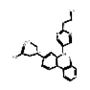 CCOc1ncc(Nc2cc([C@H](CC)CC(=O)O)ccc2-c2ccncc2F)cn1